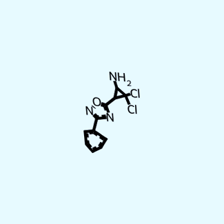 NC1C(c2nc(-c3ccccc3)no2)C1(Cl)Cl